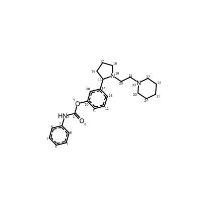 O=C(Nc1ccccc1)Oc1cccc(C2CCCN2CCN2CCCCC2)c1